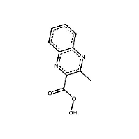 Cc1nc2ccccc2nc1C(=O)OO